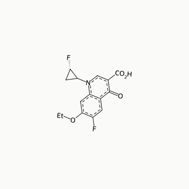 CCOc1cc2c(cc1F)c(=O)c(C(=O)O)cn2C1C[C@@H]1F